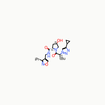 CC(C)c1nocc1CNC(=O)[C@@H]1C[C@@H](O)CN1C(=O)[C@@H](n1cc(C2CC2)nn1)C(C)(C)C